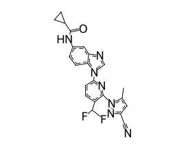 Cc1cc(C#N)nn1-c1nc(-n2cnc3cc(NC(=O)C4CC4)ccc32)ccc1C(F)F